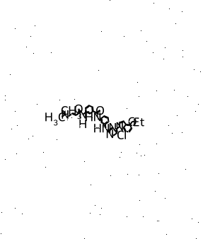 CCOc1cccc2c1ccn2-c1nc(Nc2cccc(NC(=O)c3cccc(NC(=O)/C=C/CN(C)C)c3)c2)ncc1Cl